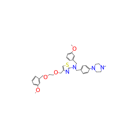 COc1cccc(COCCOCc2csc(N(Cc3ccc(N4CCN(C)CC4)cc3)Cc3cccc(OC)c3)n2)c1